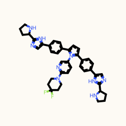 FC1(F)CCN(c2ccc(-n3c(-c4ccc(-c5cnc(C6CCCN6)[nH]5)cc4)ccc3-c3ccc(-c4cnc(C5CCCN5)[nH]4)cc3)cn2)CC1